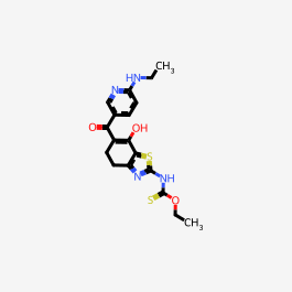 CCNc1ccc(C(=O)C2=C(O)c3sc(NC(=S)OCC)nc3CC2)cn1